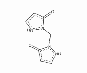 O=c1cc[nH]n1Cn1[nH]ccc1=O